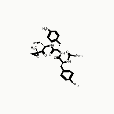 CCCCCC(=O)N[C@@H](Cc1ccc(N)cc1)C(=O)N[C@@H](Cc1ccc(N)cc1)C(=O)N[C@@H](CC(C)C)C(=O)[C@@]1(C)CO1